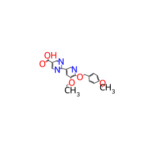 CCOc1cc(-c2ncc(C(=O)O)cn2)cnc1OCc1ccc(OC)cc1